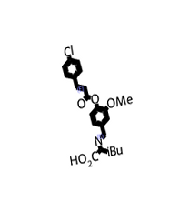 CCC(C)C(/N=C/c1ccc(OC(=O)/C=C/c2ccc(Cl)cc2)c(OC)c1)C(=O)O